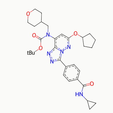 CC(C)(C)OC(=O)N(CC1CCOCC1)c1cc(OC2CCCC2)nn2c(-c3ccc(C(=O)NC4CC4)cc3)nnc12